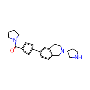 O=C(c1ccc(-c2ccc3c(c2)CCN([C@@H]2CCNC2)C3)cc1)N1CCCC1